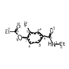 CCNC(=O)c1ccc(OC(=O)CC)c(F)c1